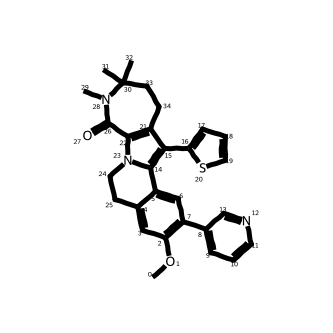 COc1cc2c(cc1-c1cccnc1)-c1c(-c3cccs3)c3c(n1CC2)C(=O)N(C)C(C)(C)CC3